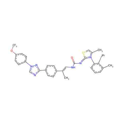 C/C(=C\NC(=O)/N=c1\scc(C)n1-c1cccc(C)c1C(C)C)c1ccc(-c2ncn(-c3ccc(OC(F)(F)F)cc3)n2)cc1